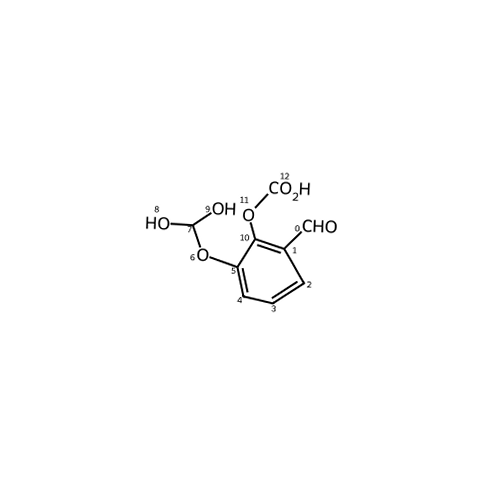 O=Cc1cccc(OC(O)O)c1OC(=O)O